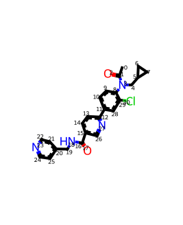 CC(=O)N(CC1CC1)c1ccc(-c2ccc(C(=O)NCc3ccncc3)cn2)cc1Cl